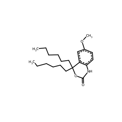 CCCCCCC1(CCCCCC)OC(=O)Nc2ccc(OC)cc21